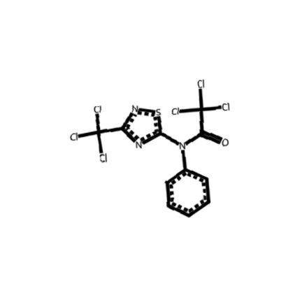 O=C(N(c1ccccc1)c1nc(C(Cl)(Cl)Cl)ns1)C(Cl)(Cl)Cl